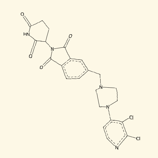 O=C1CCC(N2C(=O)c3ccc(CN4CCN(c5ccnc(Cl)c5Cl)CC4)cc3C2=O)C(=O)N1